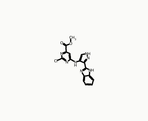 COC(=O)c1cc(Nc2c[nH]nc2-c2nc3ccccc3[nH]2)nc(Cl)n1